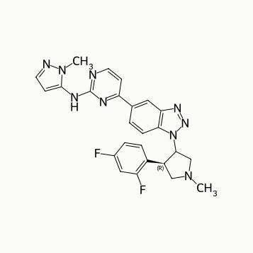 CN1CC(n2nnc3cc(-c4ccnc(Nc5ccnn5C)n4)ccc32)[C@H](c2ccc(F)cc2F)C1